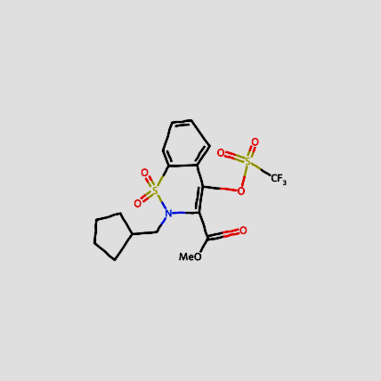 COC(=O)C1=C(OS(=O)(=O)C(F)(F)F)c2ccccc2S(=O)(=O)N1CC1CCCC1